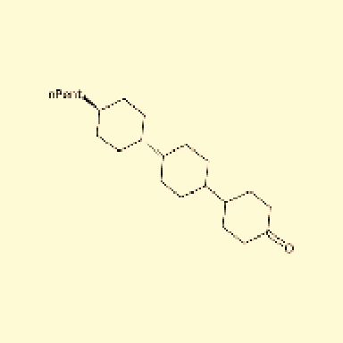 CCCCC[C@H]1CC[C@H](C2CCC(C3CCC(=O)CC3)CC2)CC1